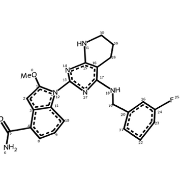 COc1cc2c(C(N)=O)cccc2n1-c1nc2c(c(NCc3cccc(F)c3)n1)CCCN2